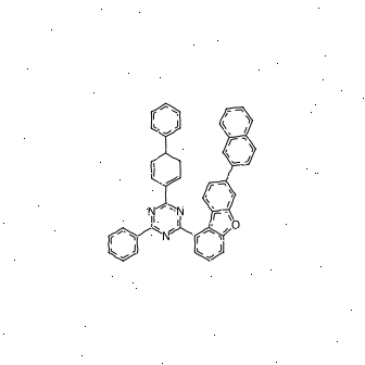 C1=CC(c2ccccc2)CC=C1c1nc(-c2ccccc2)nc(-c2cccc3oc4cc(-c5ccc6ccccc6c5)ccc4c23)n1